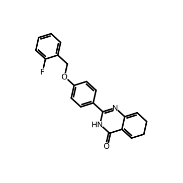 O=c1[nH]c(-c2ccc(OCc3ccccc3F)cc2)nc2c1=CCCC=2